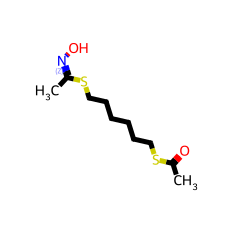 CC(=O)SCCCCCCS/C(C)=N\O